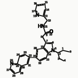 CCC(CC)n1cc(CC(=O)NCc2ccccn2)c2cc(-c3ccc4ncccc4c3)ccc21